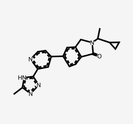 Cc1nnc(-c2cc(-c3ccc4c(c3)CN(C(C)C3CC3)C4=O)ccn2)[nH]1